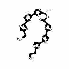 C=CCc1nc(-c2nc(-c3nc(C(=O)N[C@H](c4nc(-c5nc(-c6nc(C=C)co6)co5)co4)C(C)C)co3)co2)co1